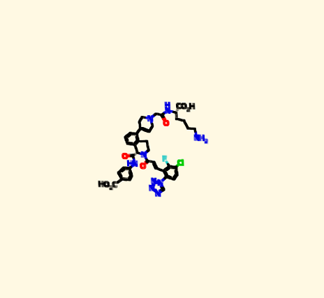 NCCCC[C@H](NC(=O)CN1CC=C(c2cccc3c2CCN(C(=O)/C=C/c2c(-n4cnnn4)ccc(Cl)c2F)[C@@H]3C(=O)Nc2ccc(C(=O)O)cc2)CC1)C(=O)O